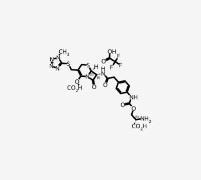 Cn1nnnc1SCC1=C(OC(=O)O)N2C(=O)[C@@H](NC(=O)Cc3ccc(NC(=O)OC[C@H](N)C(=O)O)cc3)[C@@H]2SC1.O=C(O)C(F)(F)F